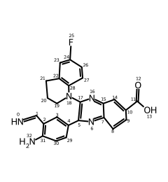 N=Cc1cc(-c2nc3ccc(C(=O)O)cc3nc2N2CCCc3cc(F)ccc32)ccc1N